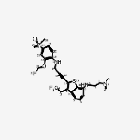 CN(C)CCNc1cccc2c(CC(F)(F)F)c(C#CCNc3ccc(P(C)(C)=O)cc3OCF)sc12